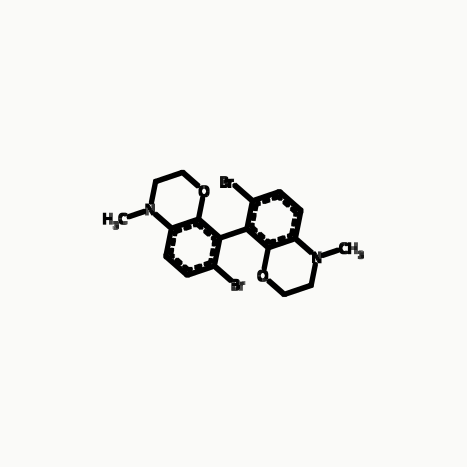 CN1CCOc2c1ccc(Br)c2-c1c(Br)ccc2c1OCCN2C